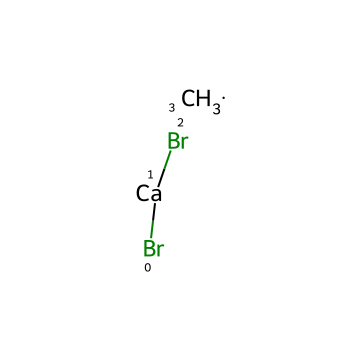 [Br][Ca][Br].[CH3]